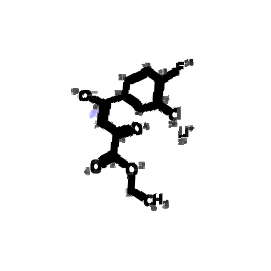 CCOC(=O)C(=O)/C=C(/[O-])c1ccc(F)c(Cl)c1.[Li+]